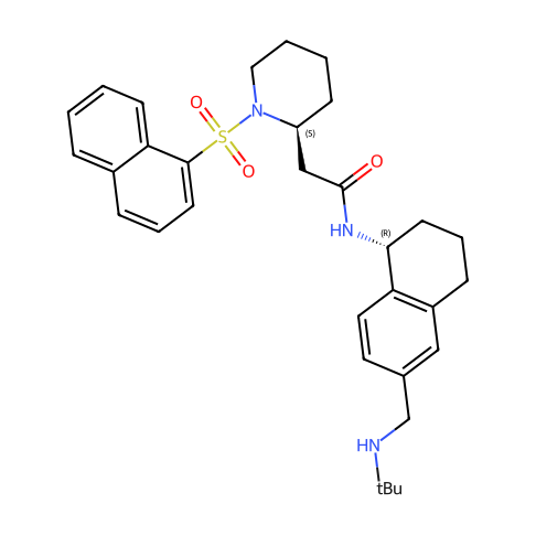 CC(C)(C)NCc1ccc2c(c1)CCC[C@H]2NC(=O)C[C@@H]1CCCCN1S(=O)(=O)c1cccc2ccccc12